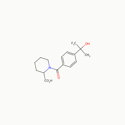 CC(O)(c1ccc(C(=O)N2CCCCC2C(=O)O)cc1)C(F)(F)F